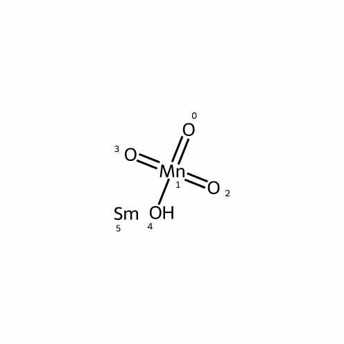 [O]=[Mn](=[O])(=[O])[OH].[Sm]